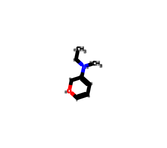 CCN(C)C1=CC=CO[C]1